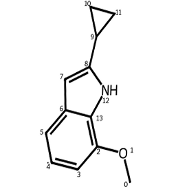 COc1c[c]cc2cc(C3CC3)[nH]c12